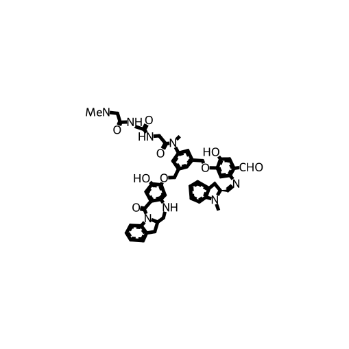 CNCC(=O)NCC(=O)NCC(=O)N(C)c1cc(COc2cc(/N=C\[C@@H]3Cc4ccccc4N3C)c(C=O)cc2O)cc(COc2cc3c(cc2O)C(=O)N2c4ccccc4CC2CN3)c1